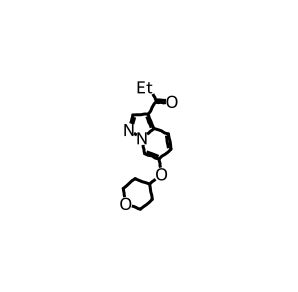 CCC(=O)c1cnn2cc(OC3CCOCC3)ccc12